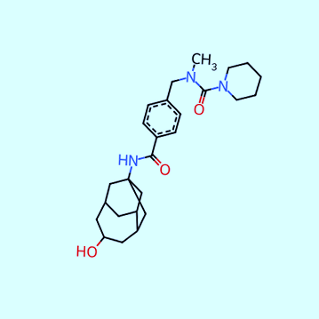 CN(Cc1ccc(C(=O)NC23CC4CC(O)CC(C2)C(C4)C3)cc1)C(=O)N1CCCCC1